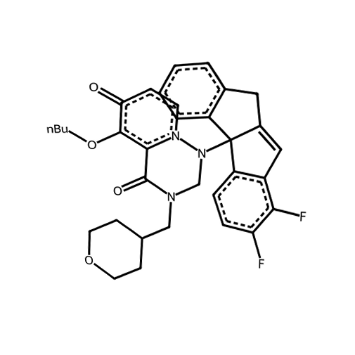 CCCCOc1c2n(ccc1=O)N(C13C(=Cc4c1ccc(F)c4F)Cc1ccccc13)CN(CC1CCOCC1)C2=O